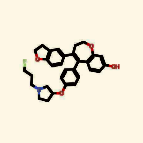 Oc1ccc2c(c1)OCCC(c1ccc3c(c1)CCO3)=C2c1ccc(O[C@H]2CCN(CCCF)C2)cc1